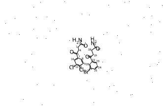 NC(=O)CCC(=O)c1ccc(Cl)c(Cl)c1.NC(=O)CCC(=O)c1cccc(Br)c1